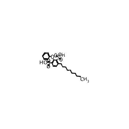 CCCCCCCCCCc1ccc(S(=O)(=O)O)c(Oc2ccccc2)c1S(=O)(=O)O